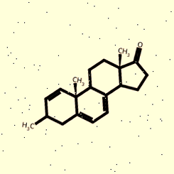 CC1C=C[C@@]2(C)C(=CC=C3C2CC[C@]2(C)C(=O)CCC32)C1